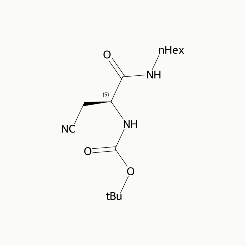 CCCCCCNC(=O)[C@H](CC#N)NC(=O)OC(C)(C)C